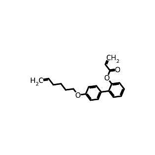 C=CCCCCOc1ccc(-c2ccccc2OC(=O)C=C)cc1